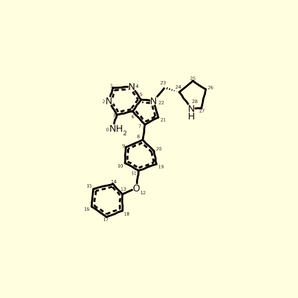 Nc1ncnc2c1c(-c1ccc(Oc3ccccc3)cc1)cn2C[C@@H]1CCCN1